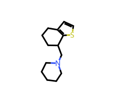 c1cc2c(s1)C(CN1CCCCC1)CCC2